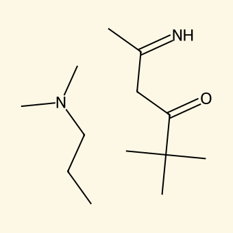 CC(=N)CC(=O)C(C)(C)C.CCCN(C)C